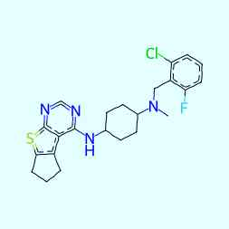 CN(Cc1c(F)cccc1Cl)C1CCC(Nc2ncnc3sc4c(c23)CCC4)CC1